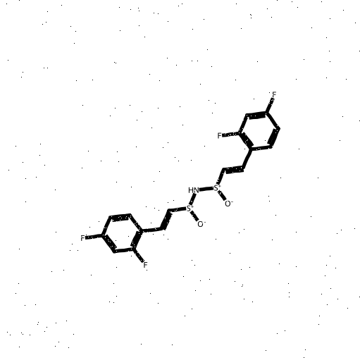 [O-][S+](C=Cc1ccc(F)cc1F)N[S+]([O-])C=Cc1ccc(F)cc1F